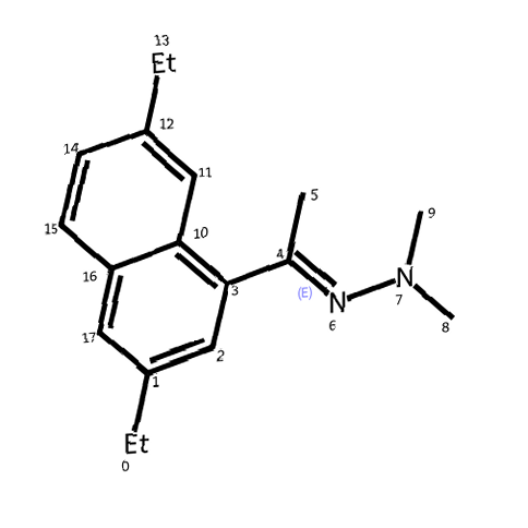 CCc1cc(/C(C)=N/N(C)C)c2cc(CC)ccc2c1